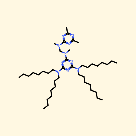 CCCCCCCCN(CCCCCCCC)c1nc(N(C)CN(C)c2nc(C)nc(C)n2)nc(N(CCCCCCCC)CCCCCCCC)n1